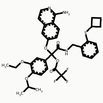 CCOc1cc(C(OC(=O)C(F)(F)F)(Oc2ccc3c(N)nccc3c2)C(=O)NCc2ccccc2SC2CCC2)ccc1OC(C)C